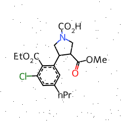 CCCc1cc(Cl)c(C(=O)OCC)c(C2CN(C(=O)O)CC2C(=O)OC)c1